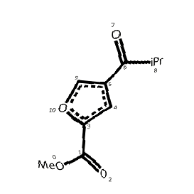 COC(=O)c1cc(C(=O)C(C)C)co1